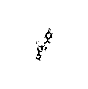 O=C(CN1CC[n+]2c(-c3cccs3)csc21)c1ccc(Br)cc1.[Br-]